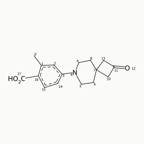 Cc1cc(N2CCC3(CC2)CC(=O)C3)ccc1C(=O)O